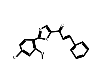 COc1cc(Cl)ccc1-c1n[c]c(C(=O)C=Cc2ccccc2)s1